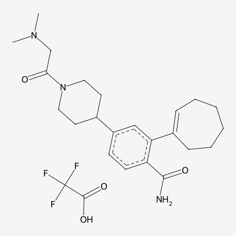 CN(C)CC(=O)N1CCC(c2ccc(C(N)=O)c(C3=CCCCCC3)c2)CC1.O=C(O)C(F)(F)F